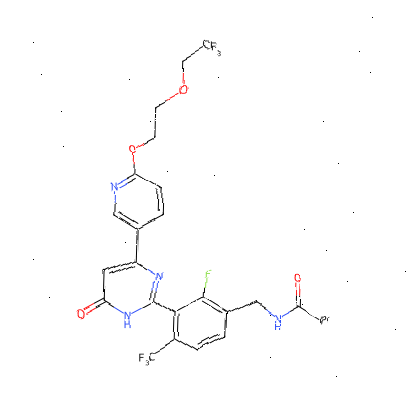 CC(C)C(=O)NCc1ccc(C(F)(F)F)c(-c2nc(-c3ccc(OCCOCC(F)(F)F)nc3)cc(=O)[nH]2)c1F